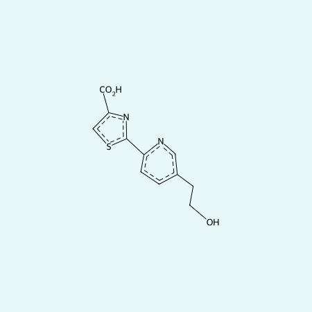 O=C(O)c1csc(-c2ccc(CCO)cn2)n1